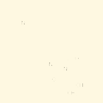 CC1(C)COc2nc3cc(C#Cc4ccccn4)ccc3c(=O)n2C1